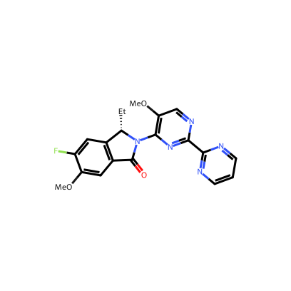 CC[C@H]1c2cc(F)c(OC)cc2C(=O)N1c1nc(-c2ncccn2)ncc1OC